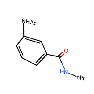 CCCNC(=O)c1cccc(NC(C)=O)c1